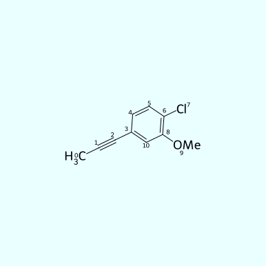 CC#Cc1ccc(Cl)c(OC)c1